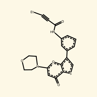 CCC#CC(=O)Nc1cccc(-c2csc3c(=O)cc(N4CCOCC4)oc23)c1